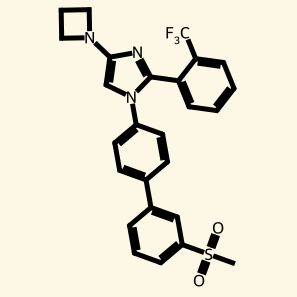 CS(=O)(=O)c1cccc(-c2ccc(-n3cc(N4CCC4)nc3-c3ccccc3C(F)(F)F)cc2)c1